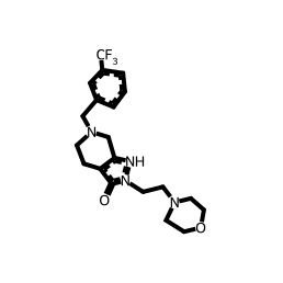 O=c1c2c([nH]n1CCN1CCOCC1)CN(Cc1cccc(C(F)(F)F)c1)CC2